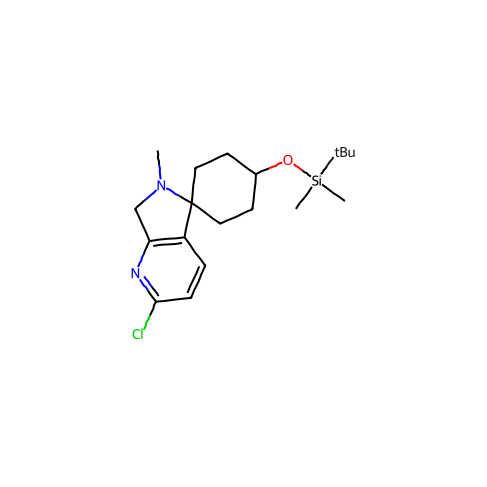 CN1Cc2nc(Cl)ccc2C12CCC(O[Si](C)(C)C(C)(C)C)CC2